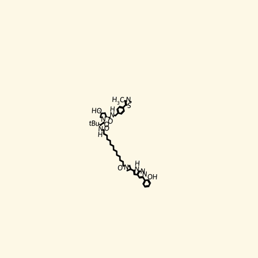 Cc1ncsc1-c1ccc(CNC(=O)[C@@H]2C[C@@H](O)CN2C(=O)[C@@H](NC(=O)CCCCCCCCCCCCC(=O)N2CC(c3cc4cc(-c5ccccc5O)nnc4[nH]3)C2)C(C)(C)C)cc1